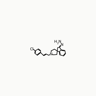 N/N=C1\CC2(CCN(C/C=C/c3ccc(Cl)cc3)CC2)c2ccccc21